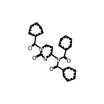 O=C(c1ccccc1)N(C(=O)c1ccccc1)c1ccn(C(=O)c2ccccc2)c(=O)n1